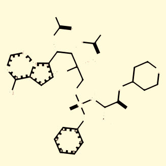 CCC(=O)O[C@@H](c1ccc2c(N)ncnn12)[C@H](OC(=O)CC)[C@@](C#N)(COP(=O)(N[C@@H](C)C(=O)OC1CCOCC1)Oc1ccccc1)OC